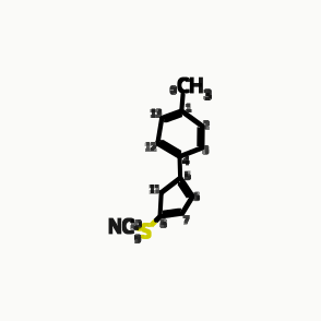 Cc1ccc(C2=CC=C(SC#N)C2)cc1